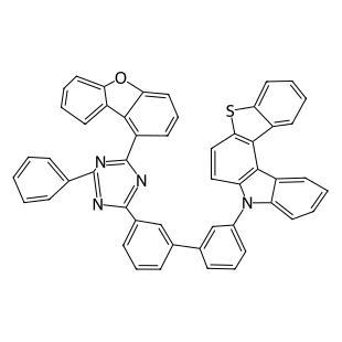 c1ccc(-c2nc(-c3cccc(-c4cccc(-n5c6ccccc6c6c7c(ccc65)sc5ccccc57)c4)c3)nc(-c3cccc4oc5ccccc5c34)n2)cc1